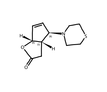 O=C1C[C@H]2[C@H](N3CCSCC3)C=C[C@H]2O1